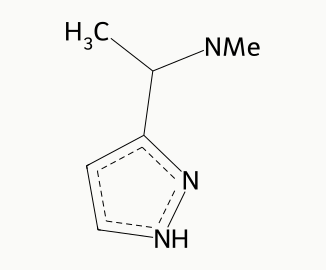 CNC(C)c1cc[nH]n1